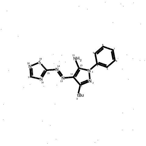 CC(C)(C)c1nn(-c2ccccc2)c(N)c1N=Nc1ncns1